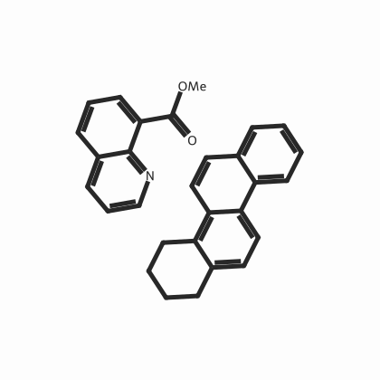 COC(=O)c1cccc2cccnc12.c1ccc2c(c1)ccc1c3c(ccc12)CCCC3